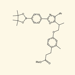 COC(=O)CCc1ccc(OCC(C)c2oc(-c3ccc(B4OC(C)(C)C(C)(C)O4)cc3)nc2C(C)C)cc1C